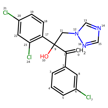 C=C(c1cccc(Cl)c1)C(O)(Cn1cncn1)c1ccc(Cl)cc1Cl